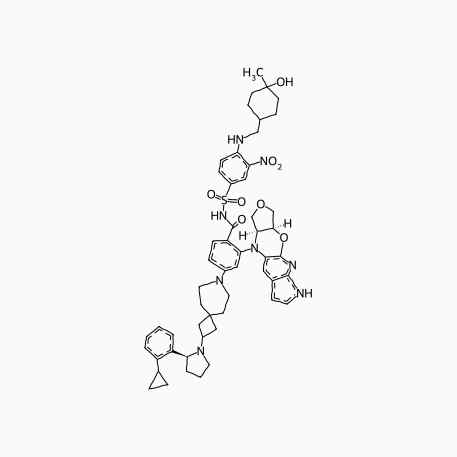 CC1(O)CCC(CNc2ccc(S(=O)(=O)NC(=O)c3ccc(N4CCC5(CC4)CC(N4CCC[C@H]4c4ccccc4C4CC4)C5)cc3N3c4cc5cc[nH]c5nc4O[C@@H]4COC[C@@H]43)cc2[N+](=O)[O-])CC1